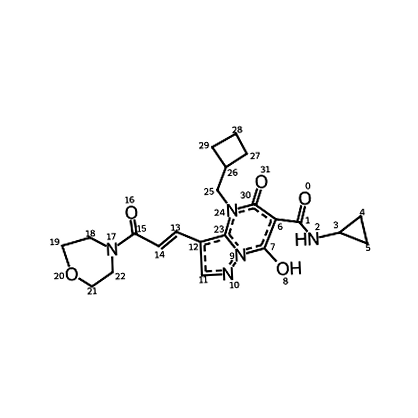 O=C(NC1CC1)c1c(O)n2ncc(/C=C/C(=O)N3CCOCC3)c2n(CC2CCC2)c1=O